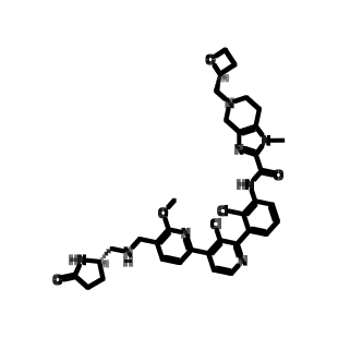 COc1nc(-c2ccnc(-c3cccc(NC(=O)c4nc5c(n4C)CCN(C[C@@H]4CCO4)C5)c3Cl)c2Cl)ccc1CNC[C@@H]1CCC(=O)N1